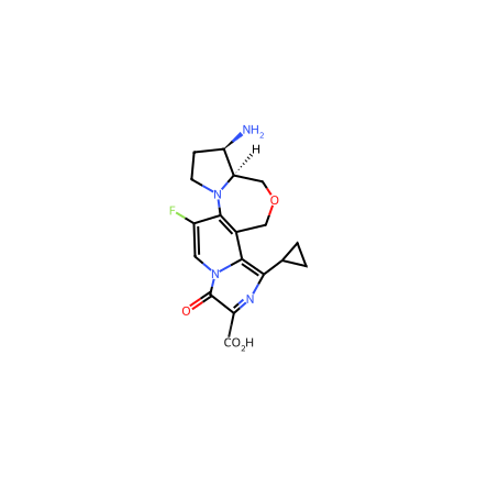 N[C@@H]1CCN2c3c(F)cn4c(=O)c(C(=O)O)nc(C5CC5)c4c3COC[C@H]12